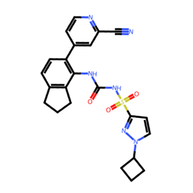 N#Cc1cc(-c2ccc3c(c2NC(=O)NS(=O)(=O)c2ccn(C4CCC4)n2)CCC3)ccn1